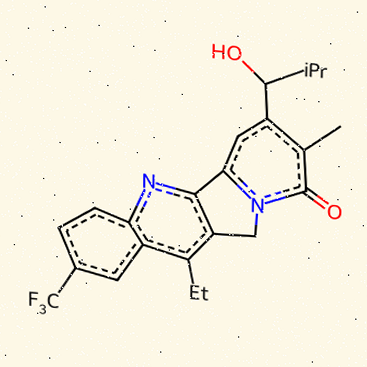 CCc1c2c(nc3ccc(C(F)(F)F)cc13)-c1cc(C(O)C(C)C)c(C)c(=O)n1C2